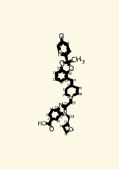 CC1(c2ccc(Cl)cn2)Oc2cccc(CC3CCN(Cc4nc5ccc(C(=O)O)cc5n4C[C@@H]4CCO4)CC3)c2O1